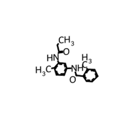 CCC(=O)Nc1cc(NC(=O)c2ccccc2C)ccc1C